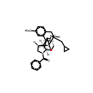 COc1ccc2c(c1)[C@@]13[C@H]4[C@H]5CC[C@@]1(O[C@@H]4CN5C(=O)c1ccccc1)[C@@H](C2)N(CC1CC1)CC3(F)F